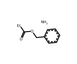 CCC(=O)OCc1ccccc1.N